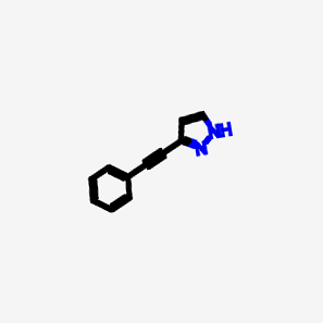 C(#Cc1cc[nH]n1)c1ccccc1